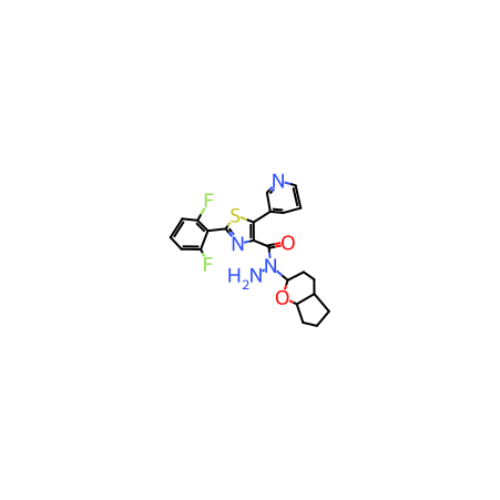 NN(C(=O)c1nc(-c2c(F)cccc2F)sc1-c1cccnc1)C1CCC2CCCC2O1